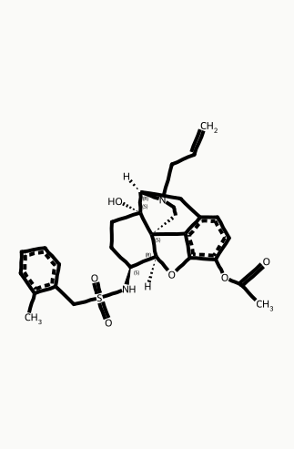 C=CCN1CC[C@]23c4c5ccc(OC(C)=O)c4O[C@H]2[C@@H](NS(=O)(=O)Cc2ccccc2C)CC[C@@]3(O)[C@H]1C5